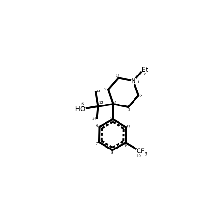 CCN1CCC(c2cccc(C(F)(F)F)c2)(C(C)(C)O)CC1